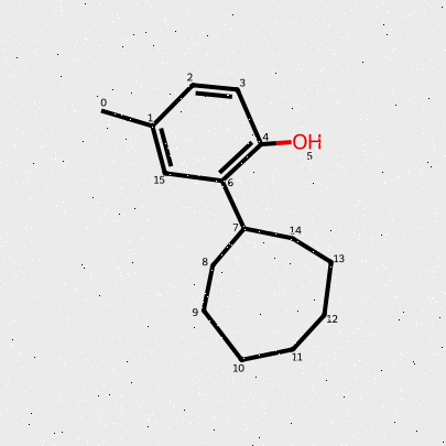 Cc1ccc(O)c(C2CCCCCCC2)c1